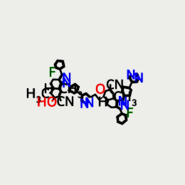 C[C@H]1C(O)C(C#N)=C[C@@]2(C)c3c(c(-c4ccccc4F)nn3-c3ccc(-c4cnnc(CC[C@H]5C(=O)C(C#N)=C[C@@]6(C)c7c(c(-c8ccccc8F)nn7-c7ccc(-c8cncnc8)cc7)CC[C@H]56)c4)cc3)CC[C@H]12